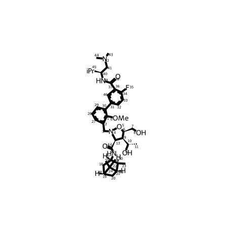 COc1c(CN2O[C@@H](CO)[C@@H]([C@H](C)O)[C@H]2C(=O)N[C@H]2C[C@H]3C[C@@H]([C@@H]2C)C3(C)C)cccc1-c1ccc(F)c(C(=O)N[C@H](CN(C)C)C(C)C)c1